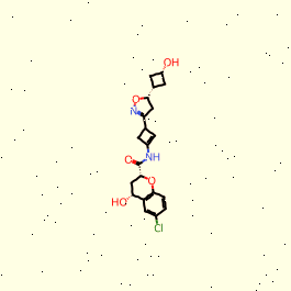 O=C(NC1=CC(C2=NOC([C@H]3C[C@@H](O)C3)C2)C1)[C@H]1C[C@@H](O)c2cc(Cl)ccc2O1